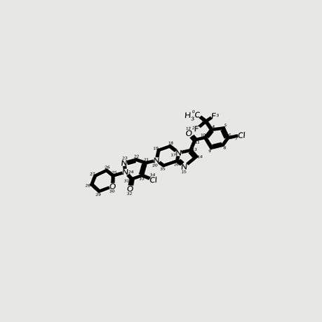 CC(F)(F)c1cc(Cl)ccc1C(=O)c1cnc2n1CCN(c1cnn(C3CCCCO3)c(=O)c1Cl)C2